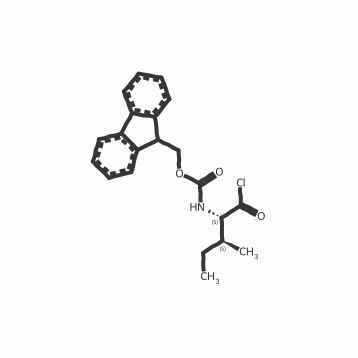 CC[C@H](C)[C@H](NC(=O)OCC1c2ccccc2-c2ccccc21)C(=O)Cl